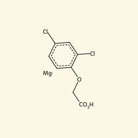 O=C(O)COc1ccc(Cl)cc1Cl.[Mg]